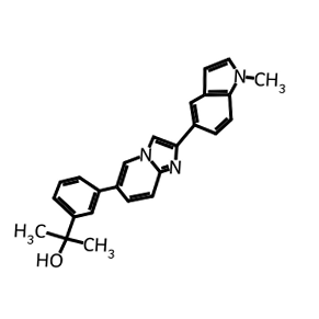 Cn1ccc2cc(-c3cn4cc(-c5cccc(C(C)(C)O)c5)ccc4n3)ccc21